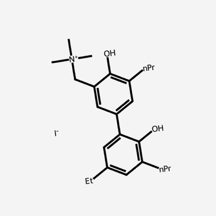 CCCc1cc(-c2cc(CC)cc(CCC)c2O)cc(C[N+](C)(C)C)c1O.[I-]